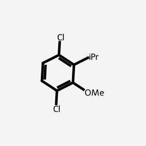 COc1c(Cl)ccc(Cl)c1C(C)C